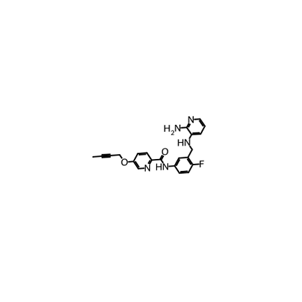 CC#CCOc1ccc(C(=O)Nc2ccc(F)c(CNc3cccnc3N)c2)nc1